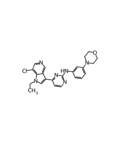 CCn1cc(-c2ccnc(Nc3cccc(N4CCOCC4)c3)n2)c2cncc(Cl)c21